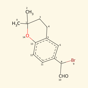 CC1(C)CCc2cc(C(Br)C=O)ccc2O1